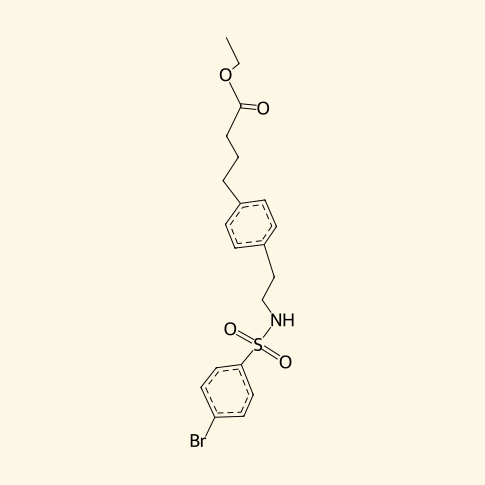 CCOC(=O)CCCc1ccc(CCNS(=O)(=O)c2ccc(Br)cc2)cc1